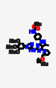 COc1cc(-n2cnc(Nc3nc(N4CCC[C@H]4CO[Si](C)(C)C(C)(C)C)c4c(C)nn(C5CCC(NC(=O)OC(C)(C)C)CC5)c4n3)c2)cc(OC)c1OC